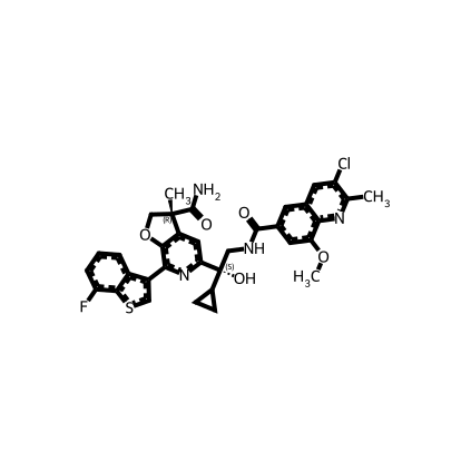 COc1cc(C(=O)NC[C@](O)(c2cc3c(c(-c4csc5c(F)cccc45)n2)OC[C@]3(C)C(N)=O)C2CC2)cc2cc(Cl)c(C)nc12